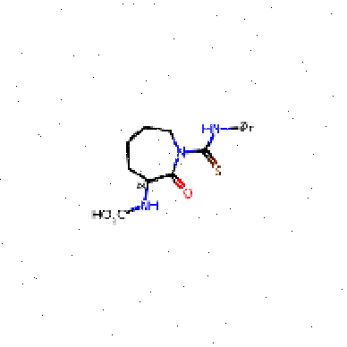 CC(C)NC(=S)N1CCCC[C@H](NC(=O)O)C1=O